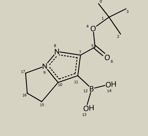 CC(C)(C)OC(=O)c1nn2c(c1B(O)O)CCC2